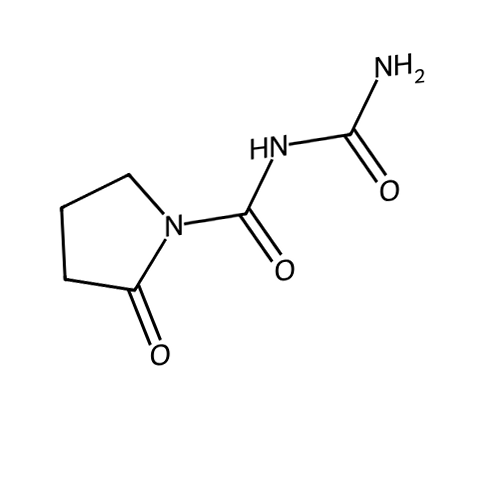 NC(=O)NC(=O)N1CCCC1=O